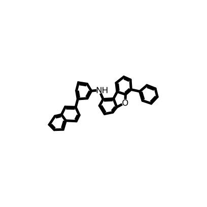 c1ccc(-c2cccc3c2oc2cccc(Nc4cccc(-c5ccc6ccccc6c5)c4)c23)cc1